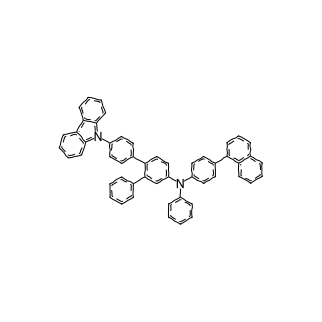 c1ccc(-c2cc(N(c3ccccc3)c3ccc(-c4cccc5ccccc45)cc3)ccc2-c2ccc(-n3c4ccccc4c4ccccc43)cc2)cc1